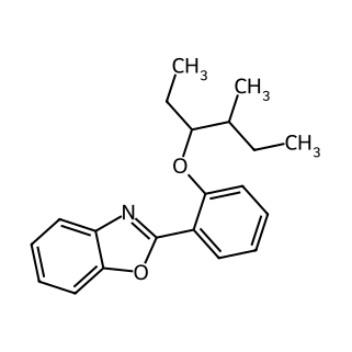 CCC(C)C(CC)Oc1ccccc1-c1nc2ccccc2o1